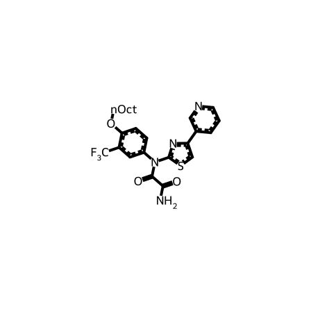 CCCCCCCCOc1ccc(N(C(=O)C(N)=O)c2nc(-c3cccnc3)cs2)cc1C(F)(F)F